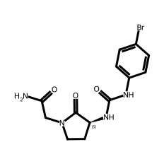 NC(=O)CN1CC[C@H](NC(=O)Nc2ccc(Br)cc2)C1=O